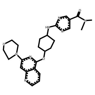 CN(C)C(=O)c1cnc(NC2CCC(Oc3nc(N4CCOCC4)cc4ncccc34)CC2)nc1